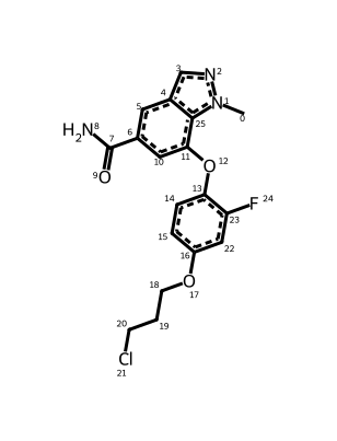 Cn1ncc2cc(C(N)=O)cc(Oc3ccc(OCCCCl)cc3F)c21